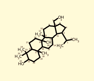 CC(C)C1CCC2(CO)CCC3(C)C(CCC4C5(C)CCC(O)C(C)(C)C5CCC43C)C12